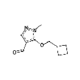 Cn1ncc(C=O)c1OCC1CCC1